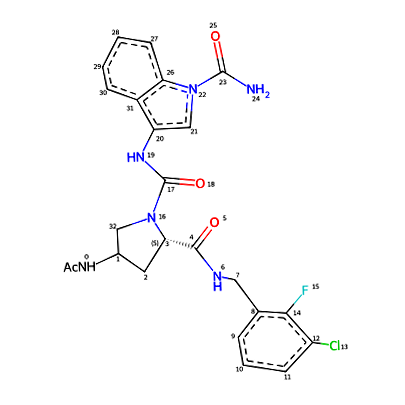 CC(=O)NC1C[C@@H](C(=O)NCc2cccc(Cl)c2F)N(C(=O)Nc2cn(C(N)=O)c3ccccc23)C1